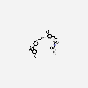 COc1cc(CC(C)OC(=O)/C=C/C(=O)OC=O)ccc1OCCCCN1CCC(c2noc3cc(Cl)ccc23)CC1